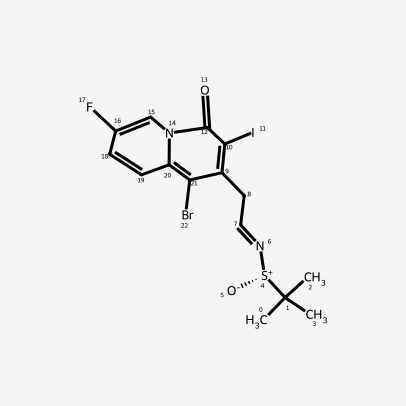 CC(C)(C)[S@+]([O-])N=CCc1c(I)c(=O)n2cc(F)ccc2c1Br